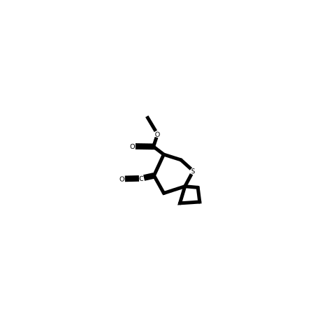 COC(=O)C1CSC2(CCC2)CC1=C=O